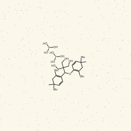 CC(C)(C)C1=C(OC(C2=C(C(C)(C)C)CC(C)(C(C)(C)C)C=C2)C(CO)(CO)CO)C=CC(C)(C(C)(C)C)C1.OP(O)O.OP(O)O